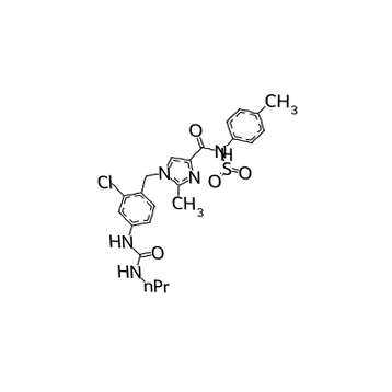 CCCNC(=O)Nc1ccc(Cn2cc(C(=O)N(c3ccc(C)cc3)[SH](=O)=O)nc2C)c(Cl)c1